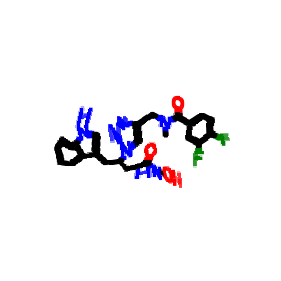 CN(Cc1cn([C@@H](CC(=O)NO)Cc2c[nH]c3ccccc23)nn1)C(=O)C1=CC=C(F)C(F)C1